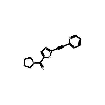 O=C(c1cnc(C#Cc2ccccn2)s1)N1CCCC1